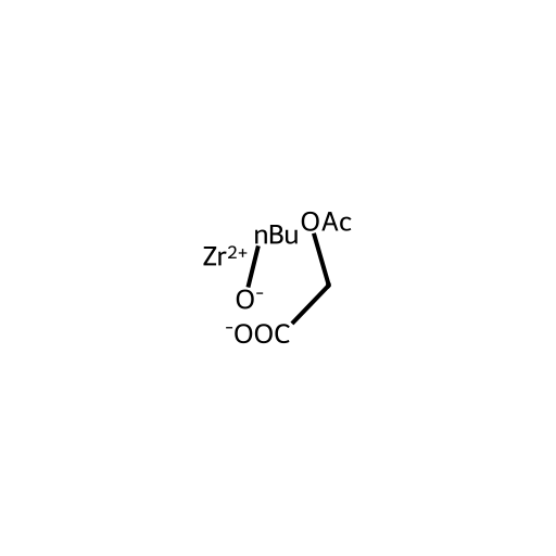 CC(=O)OCC(=O)[O-].CCCC[O-].[Zr+2]